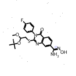 COC(CSc1nc2cc(/C(N)=N/O)ccc2c(=O)n1-c1ccc(F)cc1)OC(C)(C)C